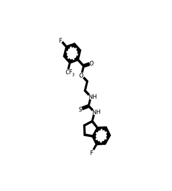 O=C(OCCNC(=S)NC1CCc2c(F)cccc21)c1ccc(F)cc1C(F)(F)F